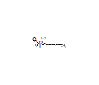 CCCCCCCCCCCCCCNC(C)(C)COc1ccccc1.Cl